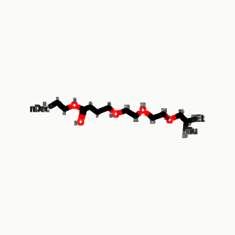 CCCCCCCCCCCCOC(=O)CCCOCCOCCOCC(CC)CCCC